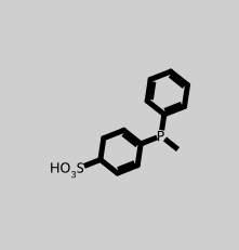 CP(C1=CCC(S(=O)(=O)O)C=C1)c1ccccc1